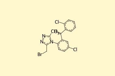 Cc1nnc(CBr)n1-c1ccc(Cl)cc1C(=O)c1ccccc1Cl